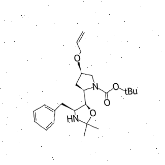 C=CCO[C@@H]1C[C@H]([C@H]2OC(C)(C)N[C@H]2Cc2ccccc2)N(C(=O)OC(C)(C)C)C1